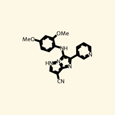 COc1ccc(Nc2c(-c3cccnc3)nc3c(C#N)c[nH]n23)c(OC)c1